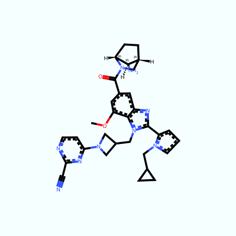 COc1cc(C(=O)N2C[C@H]3CC[C@@H]2[C@@H]3N)cc2nc(-c3cccn3CC3CC3)n(CC3CN(c4ccnc(C#N)n4)C3)c12